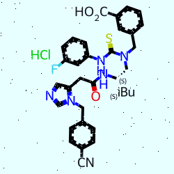 CC[C@H](C)[C@@H](CN(Cc1cccc(C(=O)O)c1)C(=S)Nc1cccc(F)c1)NC(=O)Cc1cncn1Cc1ccc(C#N)cc1.Cl